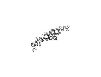 C=CC(=O)OCC(C)(CC)CSc1ccc2cc(-c3ccc(CCCCC)cc3C)c(=O)oc2c1